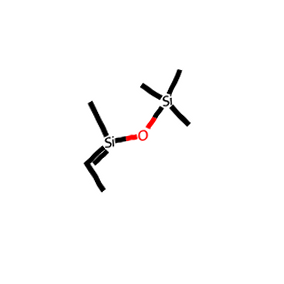 CC=[Si](C)O[Si](C)(C)C